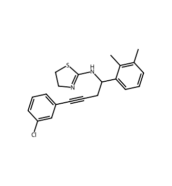 Cc1cccc(C(CC#Cc2cccc(Cl)c2)NC2=NCCS2)c1C